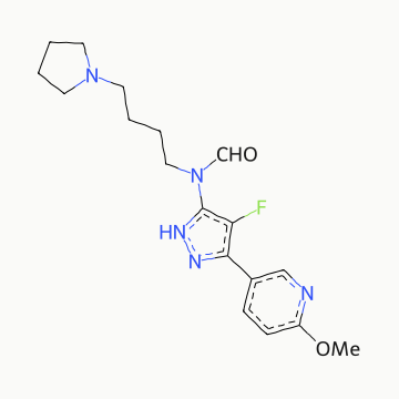 COc1ccc(-c2n[nH]c(N(C=O)CCCCN3CCCC3)c2F)cn1